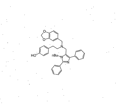 CCCCn1c(-c2ccccc2)nc(-c2ccccc2)c1CN(CCc1ccc(O)cc1)Cc1ccc2c(c1)OCO2